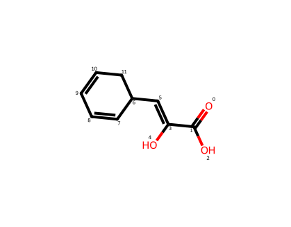 O=C(O)C(O)=CC1C=CC=CC1